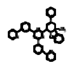 CC1C(c2nc(-c3cccc(-c4ccccn4)c3)nc(-c3cccc(-c4ccccn4)c3)n2)C=C(c2ccccc2)CC1(C)c1ccccc1